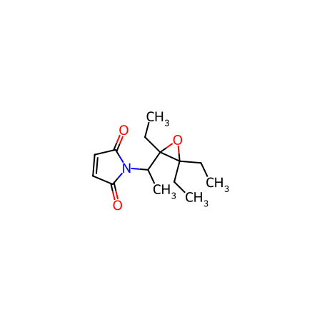 CCC1(CC)OC1(CC)C(C)N1C(=O)C=CC1=O